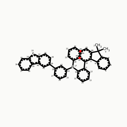 CC1(C)c2ccccc2-c2c(-c3ccccc3N(c3ccccc3)c3cccc(-c4ccc5sc6ccccc6c5c4)c3)cccc21